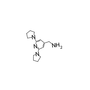 NCc1cc(N2CCCC2)nc(N2CCCC2)c1